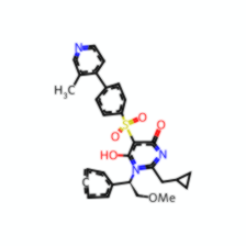 COC[C@@H](c1ccccc1)n1c(CC2CC2)nc(=O)c(S(=O)(=O)c2ccc(-c3ccncc3C)cc2)c1O